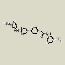 CCCCn1cc(Nc2ncc(-c3ccc(CC(=O)Nc4cncc(C(F)(F)F)c4)cc3)cn2)cn1